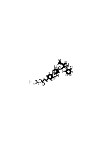 CCOC(=O)CCc1ccc(N2C[C@@H]3C[C@H]2C[C@H]3OCc2c(C3CC3)cnn2-c2c(F)cccc2Cl)c(F)c1